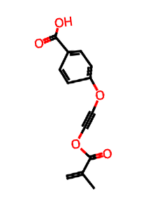 C=C(C)C(=O)OC#COc1ccc(C(=O)O)cc1